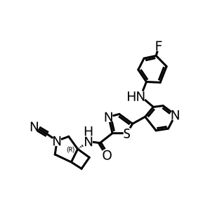 N#CN1CC2CC[C@]2(NC(=O)c2ncc(-c3ccncc3Nc3ccc(F)cc3)s2)C1